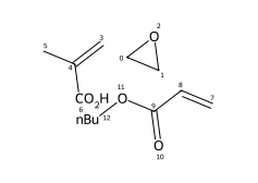 C1CO1.C=C(C)C(=O)O.C=CC(=O)OCCCC